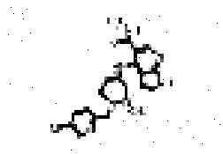 CNC(=O)c1cnc2[nH]ccc2c1N[C@@H]1CCN(Cc2ccc(Cl)cn2)[C@H](C)C1